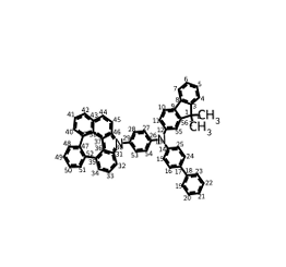 CC1(C)c2ccccc2-c2ccc(N(c3ccc(-c4ccccc4)cc3)c3ccc(-n4c5cccc6c5c5c7c(cccc7ccc54)-c4ccccc4-6)cc3)cc21